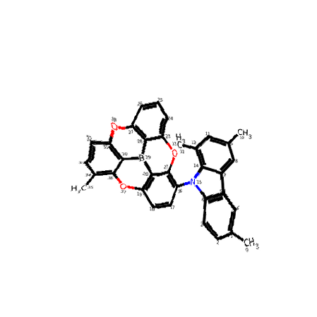 Cc1ccc2c(c1)c1cc(C)cc(C)c1n2-c1ccc2c3c1Oc1cccc4c1B3c1c(ccc(C)c1O2)O4